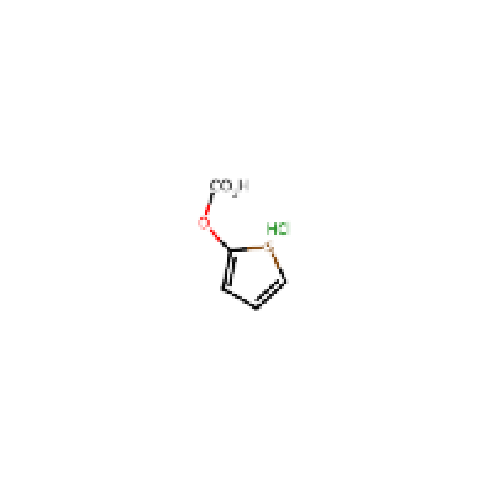 Cl.O=C(O)Oc1cccs1